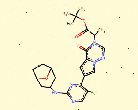 CC(C(=O)OC(C)(C)C)n1cnn2cc(-c3nc(NC4CC5CCC(C4)O5)ncc3Cl)cc2c1=O